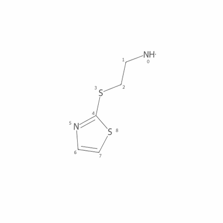 [NH]CCSc1nccs1